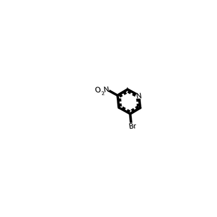 O=[N+]([O-])c1[c]ncc(Br)c1